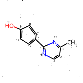 Cc1ccnc(-c2ccc(O)cc2)n1